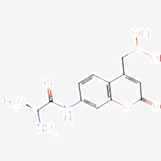 C[C@H](N)C(=O)Nc1ccc2c(CP(O)O)cc(=O)oc2c1